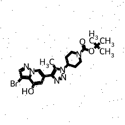 Cc1c(-c2cc(O)c3c(Br)cnn3c2)nnn1C1CCN(C(=O)OC(C)(C)C)CC1